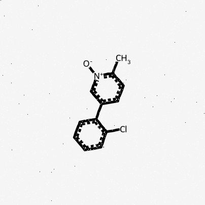 Cc1ccc(-c2ccc[c]c2Cl)c[n+]1[O-]